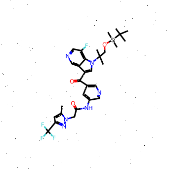 Cc1cc(C(F)(F)F)nn1CC(=O)Nc1cncc(C(=O)c2cn(C(C)(C)CO[Si](C)(C)C(C)(C)C)c3c(F)cncc23)c1